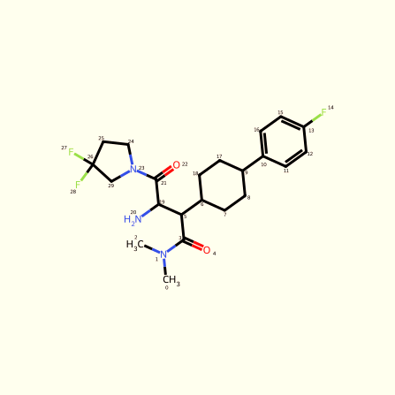 CN(C)C(=O)C(C1CCC(c2ccc(F)cc2)CC1)C(N)C(=O)N1CCC(F)(F)C1